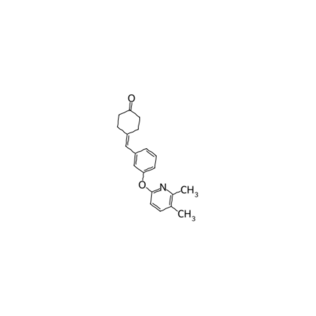 Cc1ccc(Oc2cccc(C=C3CCC(=O)CC3)c2)nc1C